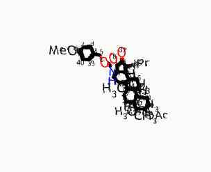 COc1ccc(COC(=O)N[C@@]23CC[C@]4(C)[C@H](CC[C@@H]5[C@@]6(C)CC[C@H](OC(C)=O)C(C)(C)[C@@H]6CC[C@]54C)C2=C(C(C)C)C(=O)C3)cc1